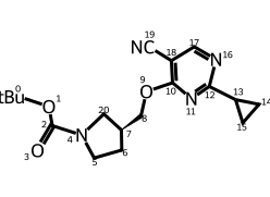 CC(C)(C)OC(=O)N1CC[C@H](COc2nc(C3CC3)ncc2C#N)C1